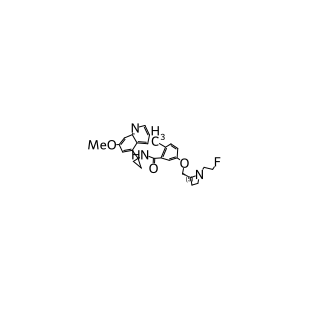 COc1cc(C2(NC(=O)c3cc(OC[C@@H]4CCN4CCF)ccc3C)CC2)c2cccnc2c1